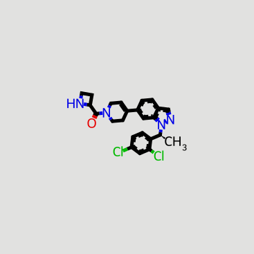 C[C@H](c1ccc(Cl)cc1Cl)n1ncc2ccc(C3=CCN(C(=O)C4CCN4)CC3)cc21